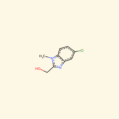 Cn1c(CO)nc2cc(Cl)ccc21